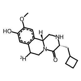 [2H]C1CN2C(=O)[C@@H](CC3CCC3)NC[C@H]2c2cc(OC)c(O)cc21